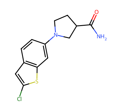 NC(=O)C1CCN(c2ccc3cc(Cl)sc3c2)C1